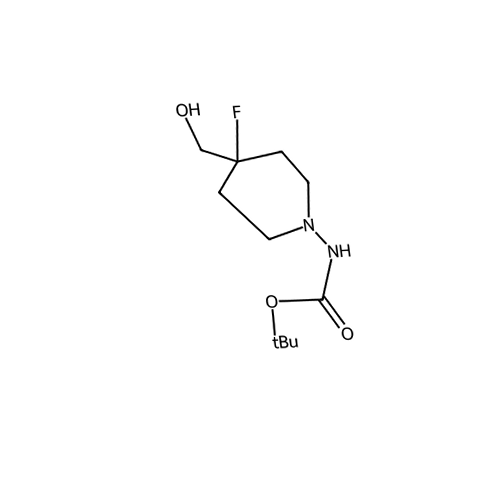 CC(C)(C)OC(=O)NN1CCC(F)(CO)CC1